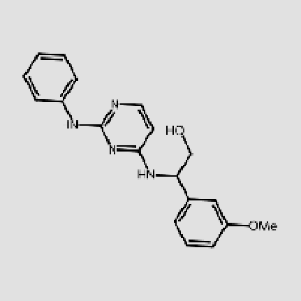 COc1cccc(C(CO)Nc2ccnc(Nc3ccccc3)n2)c1